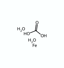 O.O.O=C(O)O.[Fe]